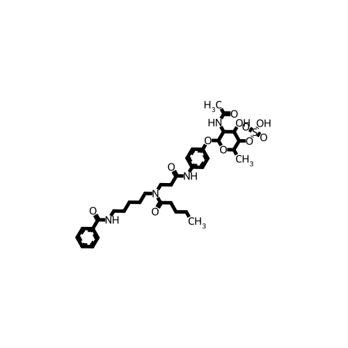 CCCCC(=O)N(CCCCCNC(=O)c1ccccc1)CCC(=O)Nc1ccc(OC2OC(C)C(OS(=O)(=O)O)C(O)C2NC(C)=O)cc1